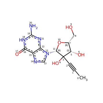 CC#CC1(O)[C@@H](O)[C@@H](CO)O[C@H]1n1cnc2c(=O)[nH]c(N)nc21